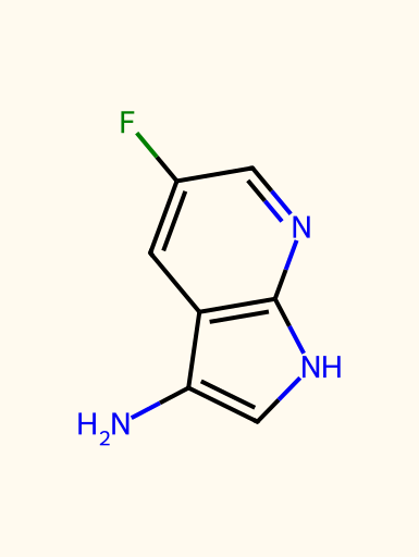 Nc1c[nH]c2ncc(F)cc12